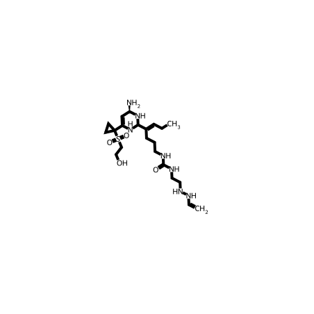 C=CNNCCNC(=O)NCCC/C(=C\CC)C1NC(C2(S(=O)(=O)CCO)CC2)=C[C@@H](N)N1